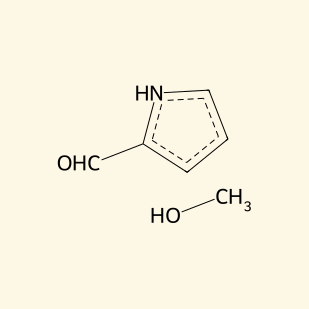 CO.O=Cc1ccc[nH]1